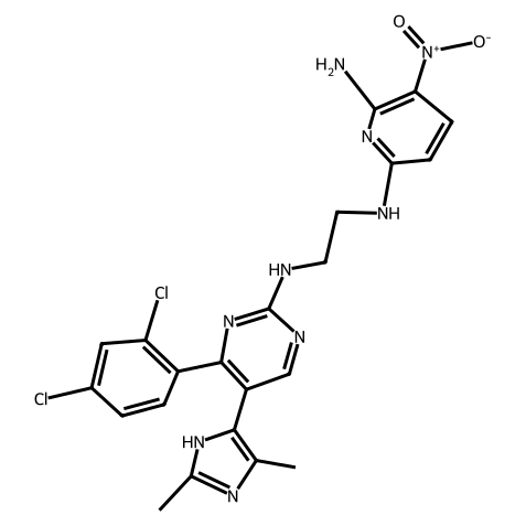 Cc1nc(C)c(-c2cnc(NCCNc3ccc([N+](=O)[O-])c(N)n3)nc2-c2ccc(Cl)cc2Cl)[nH]1